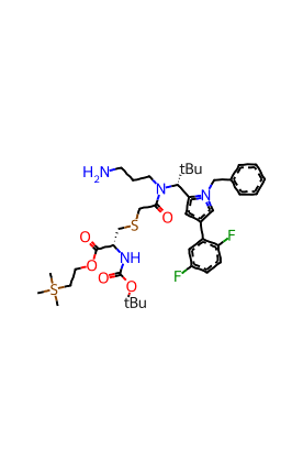 CC(C)(C)OC(=O)N[C@@H](CSCC(=O)N(CCCN)[C@@H](c1cc(-c2cc(F)ccc2F)cn1Cc1ccccc1)C(C)(C)C)C(=O)OCCS(C)(C)C